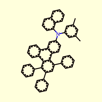 Cc1cc(C)cc(N(c2ccc3c(c2)c2ccccc2c2c(-c4ccccc4)c(-c4ccccc4)cc(-c4ccccc4)c32)c2cccc3ccccc23)c1